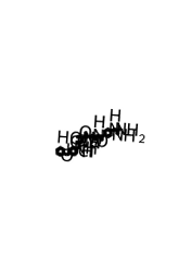 Cl.N=C(N)Nc1ccc(C(=O)NC(=O)CNC(=O)[C@H](CO)NC(=O)Nc2ccc(Oc3ccccc3)cc2)cc1